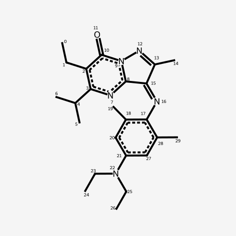 CCc1c(C(C)C)nc2n(c1=O)N=C(C)C2=Nc1c(C)cc(N(CC)CC)cc1C